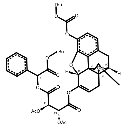 CCCCOC(=O)[C@@H](OC(=O)[C@H](OC(C)=O)[C@@H](OC(C)=O)C(=O)OC1=CC[C@@]2(O)[C@H]3Cc4ccc(OC(=O)OC(C)(C)C)c5c4[C@@]2(CCN3C)[C@H]1O5)c1ccccc1